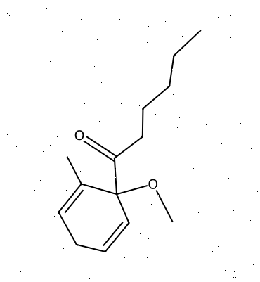 CCCCCC(=O)C1(OC)C=CCC=C1C